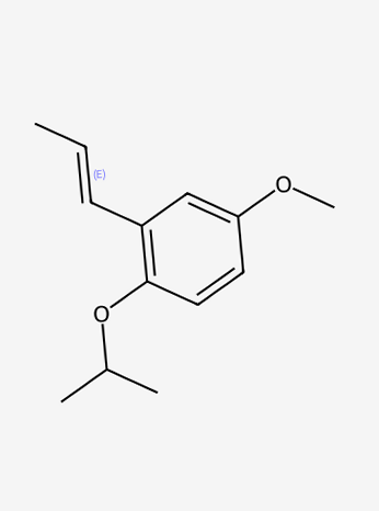 C/C=C/c1cc(OC)ccc1OC(C)C